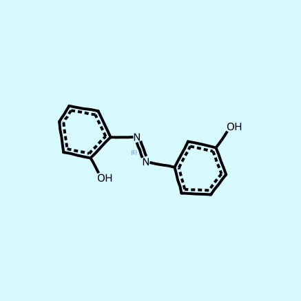 Oc1cccc(/N=N/c2ccccc2O)c1